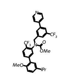 COC(=O)N(Cc1cc(-c2ccncc2)cc(C(F)(F)F)c1)c1cc(-c2cc(C(C)C)ccc2OC)ccc1C(F)(F)F